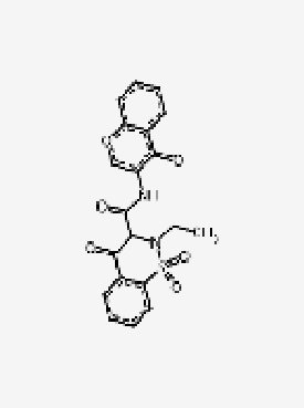 CCN1C(C(=O)Nc2coc3ccccc3c2=O)C(=O)c2ccccc2S1(=O)=O